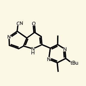 Cc1nc(C(C)(C)C)c(C)nc1-c1cc(=O)c2c(C#N)nccc2[nH]1